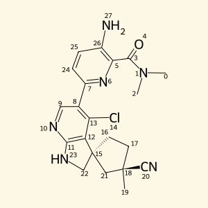 CN(C)C(=O)c1nc(-c2cnc3c(c2Cl)[C@]2(CC[C@@](C)(C#N)C2)CN3)ccc1N